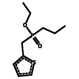 CCCP(=O)(Cc1cccs1)OCC